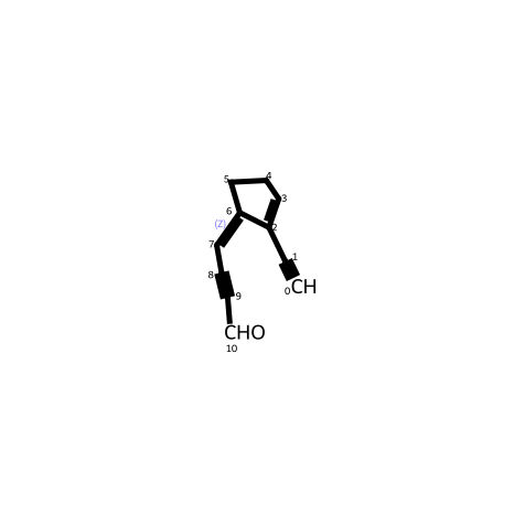 C#CC1=CCC/C1=C/C#CC=O